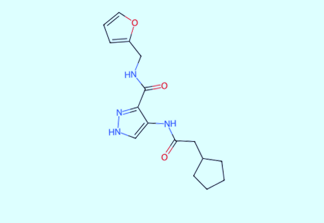 O=C(CC1CCCC1)Nc1c[nH]nc1C(=O)NCc1ccco1